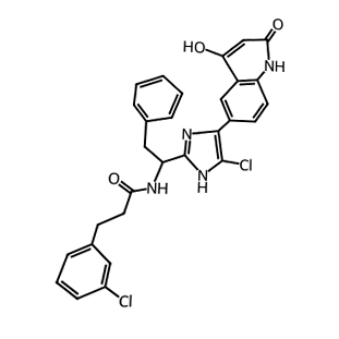 O=C(CCc1cccc(Cl)c1)NC(Cc1ccccc1)c1nc(-c2ccc3[nH]c(=O)cc(O)c3c2)c(Cl)[nH]1